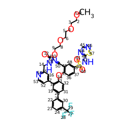 COCCOCCOCCOC(=O)NCc1cc(-c2cc(-c3cccc(C(F)(F)F)c3)ccc2Oc2ccc(S(=O)(=O)Nc3ncns3)cc2C#N)ccn1